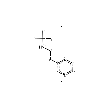 CC(C)(C)NCCc1cccnc1